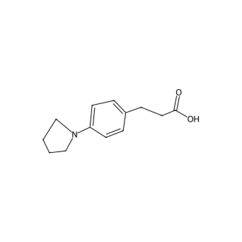 O=C(O)CCc1ccc(N2CCCC2)cc1